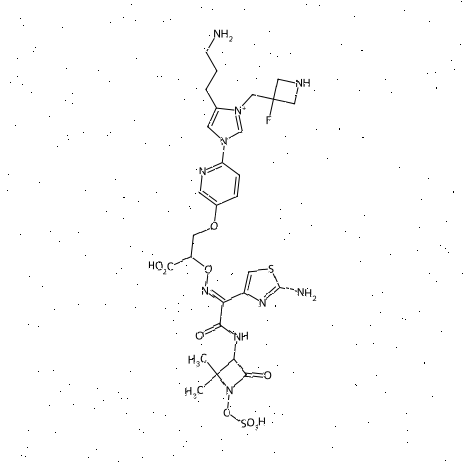 CC1(C)C(NC(=O)C(=NOC(COc2ccc(-n3cc(CCCN)[n+](CC4(F)CNC4)c3)nc2)C(=O)O)c2csc(N)n2)C(=O)N1OS(=O)(=O)O